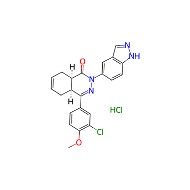 COc1ccc(C2=NN(c3ccc4[nH]ncc4c3)C(=O)[C@@H]3CC=CC[C@H]23)cc1Cl.Cl